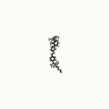 C=CCCNC(=O)C(C)c1ccc(CC[C@@H]2CCN(c3ccnc(NCCC)c3F)C2)cc1